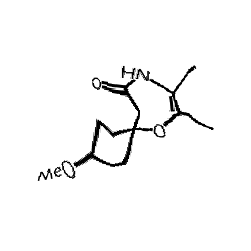 COC1CC2(C1)OC(C)=C(C)NC2=O